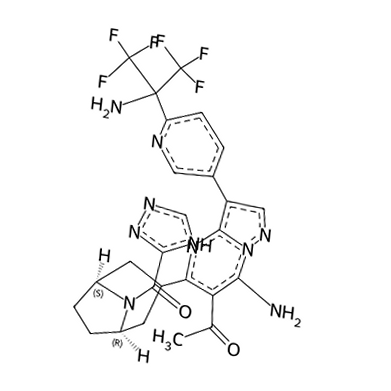 CC(=O)c1c(C2C[C@H]3CC[C@@H](C2)N3C(=O)c2nnc[nH]2)nc2c(-c3ccc(C(N)(C(F)(F)F)C(F)(F)F)nc3)cnn2c1N